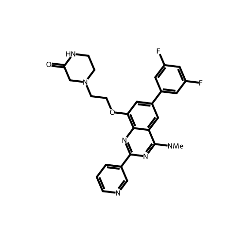 CNc1nc(-c2cccnc2)nc2c(OCCN3CCNC(=O)C3)cc(-c3cc(F)cc(F)c3)cc12